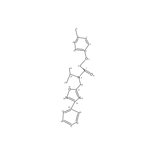 Cc1ccc(OCC(=O)N(Cc2nc(-c3ccccc3)no2)C(C)C)cc1